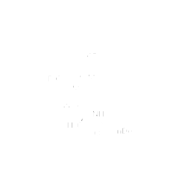 CCCCCCCCCCCC(=O)N[C@@H](C)C(=O)COC(=O)c1c(C(F)(F)F)cccc1C(F)(F)F